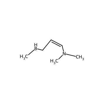 CBC/C=C\N(C)C